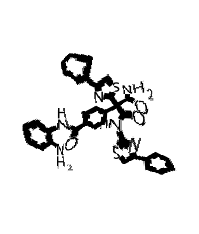 NC(=O)C(C(=O)Nc1nc(-c2ccccc2)cs1)(c1ccc(C(=O)Nc2ccccc2N)cc1)c1nc(-c2ccccc2)cs1